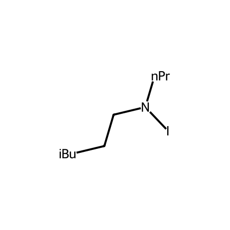 CCCN(I)CCC(C)CC